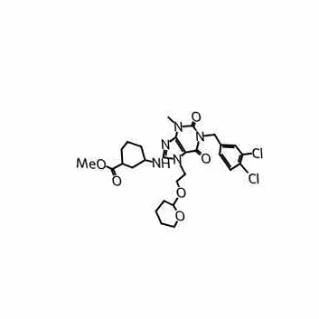 COC(=O)C1CCCC(Nc2nc3c(c(=O)n(Cc4ccc(Cl)c(Cl)c4)c(=O)n3C)n2CCOC2CCCCO2)C1